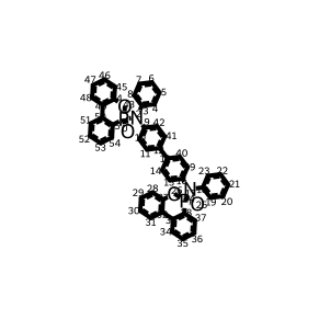 O=P1(N(c2ccccc2)c2ccc(-c3ccc(N(c4ccccc4)P4(=O)Oc5ccccc5-c5ccccc54)cc3)cc2)Oc2ccccc2-c2ccccc21